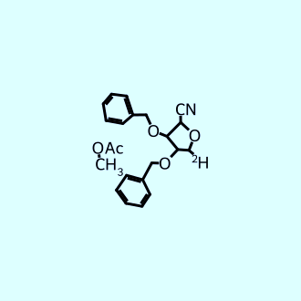 COC(C)=O.[2H]C1OC(C#N)C(OCc2ccccc2)C1OCc1ccccc1